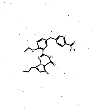 CCCc1nc(C)c2c(=O)[nH]c(-c3cc(Cc4ccc(C(=O)O)cc4)ccc3OCC)nn12